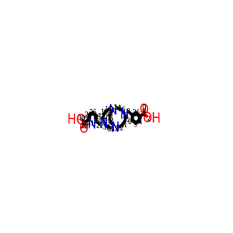 O=C(O)c1cccc(CN2CCCN3CCCN(CCCN(Cc4cccc(C(=O)O)n4)CC3)CC2)c1